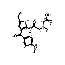 CCc1cc(C(=O)c2ccc(OC)cc2)c(NC(=O)CN(C)CC(=O)O)s1